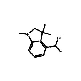 CC(O)c1cccc2c1C(C)(C)CN2C